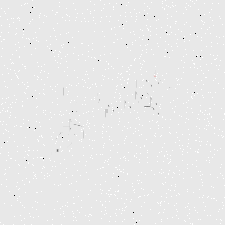 C[C@@H]1C[C@H]2[C@@H]3CCC4=CC(=O)C=C[C@]4(C)C3=CC[C@]2(C)[C@H]1C(=O)CN1CCN(c2cc(N3CCCC3)nc(NC34CC5CC(CC(C5)C3)C4)n2)CC1